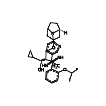 CC(=N)c1ccc(N2C3CC[C@H]2CC(OC/C(C(=N)c2ccccc2OC(F)F)=C(/O)C2CC2)C3)nc1